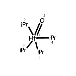 C[CH](C)[Hf](=[O])([CH](C)C)([CH](C)C)[CH](C)C